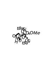 COCO[C@H]1[C@@H](O[Si](C)(C)C(C)(C)C)[C@H](n2ccc(=O)[nH]c2=O)O[C@@H]1CO[Si](C)(C)C(C)(C)C